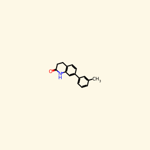 Cc1cccc(-c2ccc3c(c2)NC(=O)CC3)c1